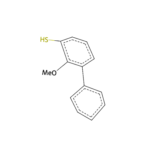 COc1c(S)cccc1-c1ccccc1